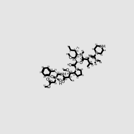 CC[C@H](C)[C@@H]([C@@H](CC(=O)N1CCCC1[C@H](OC)[C@@H](C)C(=O)N[C@@H](Cc1ccccc1)P(=O)(O)CC(=O)OC)OC)N(C)C(=O)C(N=C(N(C)C)N1CCNCC1)C(C)C